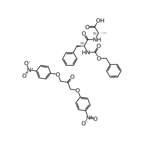 C[C@H](NC(=O)[C@H](Cc1ccccc1)NC(=O)OCc1ccccc1)C(=O)O.O=C(COc1ccc([N+](=O)[O-])cc1)COc1ccc([N+](=O)[O-])cc1